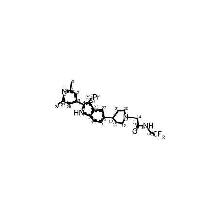 Cc1cc(-c2[nH]c3ccc(C4CCN(CC(=O)NCC(F)(F)F)CC4)cc3c2C(C)C)cc(C)n1